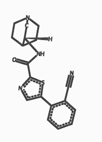 N#Cc1ccccc1-c1cnc(C(=O)N[C@H]2CN3CCC2CC3)s1